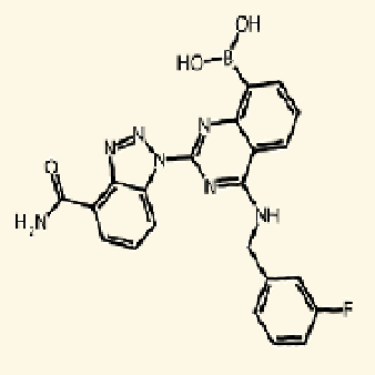 NC(=O)c1cccc2c1nnn2-c1nc(NCc2cccc(F)c2)c2cccc(B(O)O)c2n1